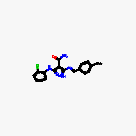 COc1ccc(/C=N/c2[nH]nc(Nc3ccccc3Cl)c2C(N)=O)cc1